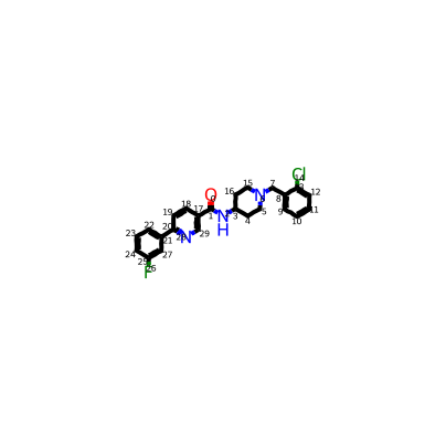 O=C(NC1CCN(Cc2ccccc2Cl)CC1)c1ccc(-c2cccc(F)c2)nc1